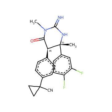 CN1C(=N)N[C@](C)(c2ccc(F)c(F)c2)[C@@H](c2ccc(C3(C#N)CC3)cc2)C1=O